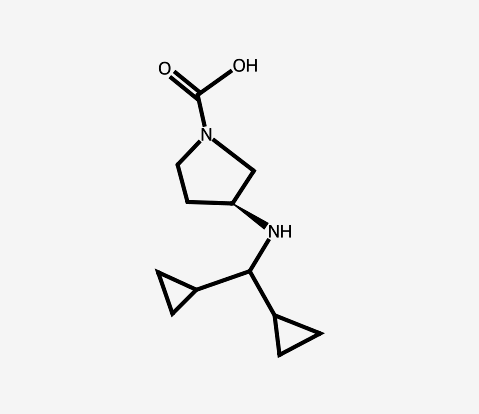 O=C(O)N1CC[C@H](NC(C2CC2)C2CC2)C1